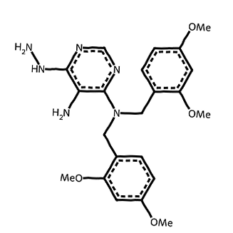 COc1ccc(CN(Cc2ccc(OC)cc2OC)c2ncnc(NN)c2N)c(OC)c1